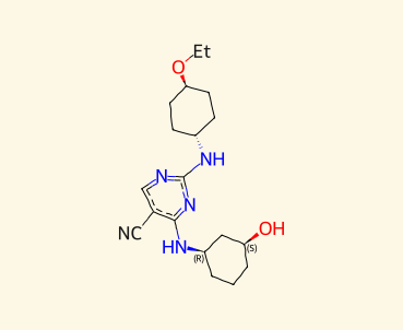 CCO[C@H]1CC[C@H](Nc2ncc(C#N)c(N[C@@H]3CCC[C@H](O)C3)n2)CC1